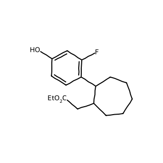 CCOC(=O)CC1CCCCCC1c1ccc(O)cc1F